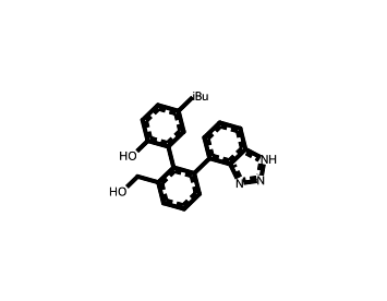 CCC(C)c1ccc(O)c(-c2c(CO)cccc2-c2cccc3[nH]nnc23)c1